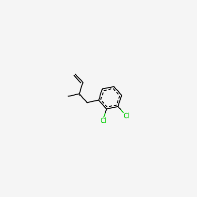 C=C[C](C)Cc1cccc(Cl)c1Cl